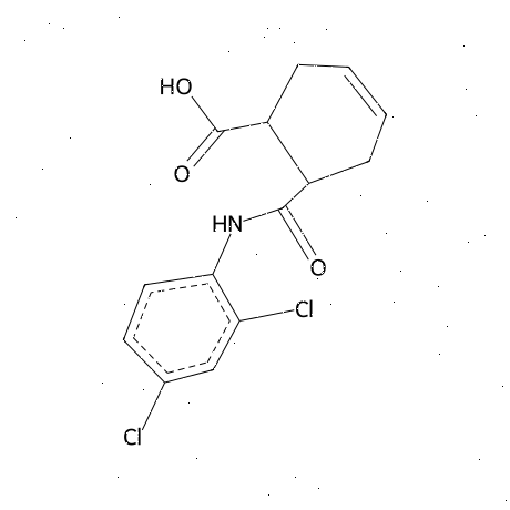 O=C(O)C1CC=CCC1C(=O)Nc1ccc(Cl)cc1Cl